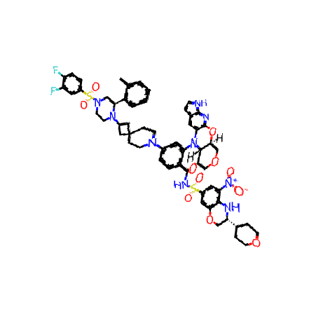 Cc1ccccc1[C@@H]1CN(S(=O)(=O)c2ccc(F)c(F)c2)CCN1C1CC2(CCN(c3ccc(C(=O)NS(=O)(=O)c4cc5c(c([N+](=O)[O-])c4)N[C@H](C4CCOCC4)CO5)c(N4c5cc6cc[nH]c6nc5O[C@H]5COCC[C@@H]54)c3)CC2)C1